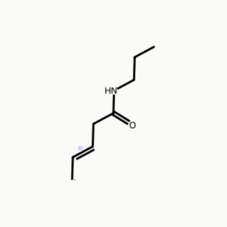 [CH2]/C=C/CC(=O)NCCC